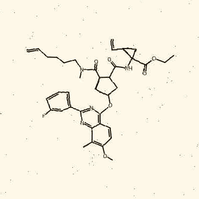 C=CCCCCN(C)C(=O)C1CC(Oc2nc(-c3cccc(F)c3)nc3c(C)c(OC)ccc23)CC1C(=O)NC1(C(=O)OCC)CC1C=C